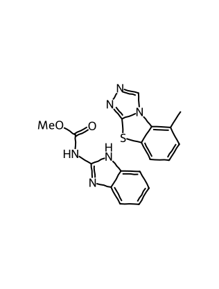 COC(=O)Nc1nc2ccccc2[nH]1.Cc1cccc2sc3nncn3c12